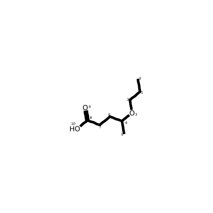 CCCOC(C)CCC(=O)O